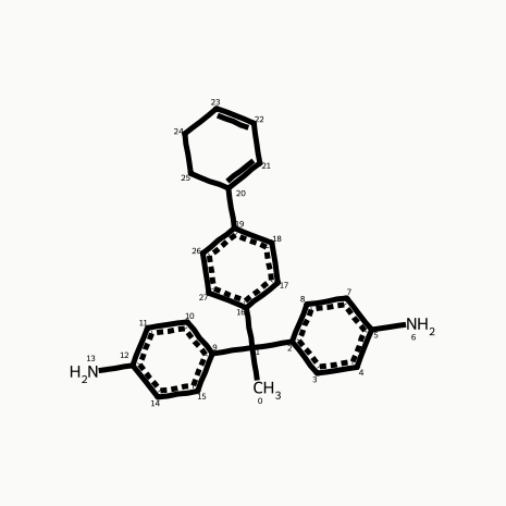 CC(c1ccc(N)cc1)(c1ccc(N)cc1)c1ccc(C2=CC=CCC2)cc1